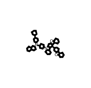 c1ccc(-c2ccc(N(c3ccc(-n4c5ccccc5c5c(-c6ccc7c(c6)oc6ccccc67)c6c(cc54)oc4ccccc46)cc3)c3ccc4ccccc4c3)cc2)cc1